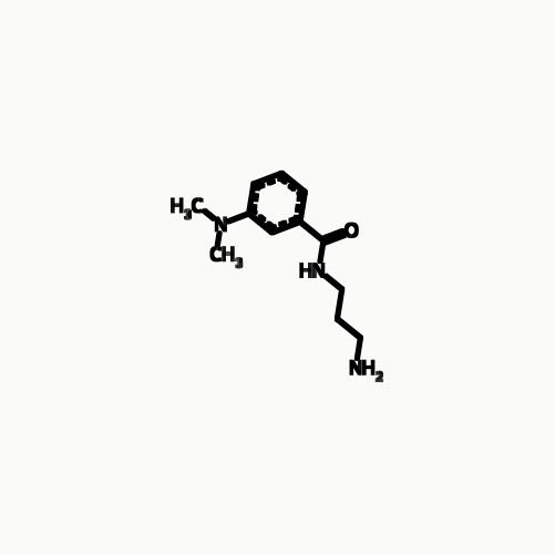 CN(C)c1cccc(C(=O)NCCCN)c1